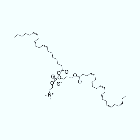 CC/C=C\C/C=C\C/C=C\C/C=C\C/C=C\C/C=C\CCC(=O)OC[C@H](COP(=O)([O-])OCC[N+](C)(C)C)OC(=O)CCCCCC/C=C\C/C=C\C/C=C\CCCCC